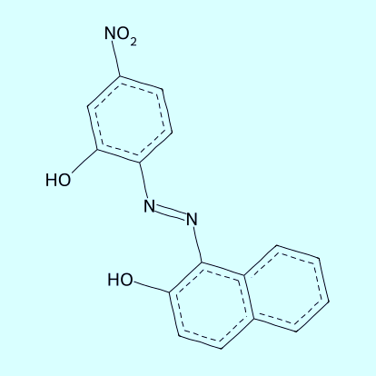 O=[N+]([O-])c1ccc(N=Nc2c(O)ccc3ccccc23)c(O)c1